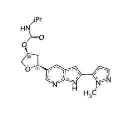 CC(C)NC(=O)O[C@@H]1CO[C@H](c2cnc3[nH]c(-c4ccnn4C)cc3c2)C1